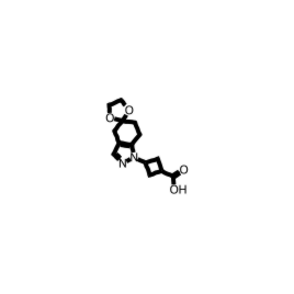 O=C(O)C1CC(n2ncc3c2CCC2(C3)OCCO2)C1